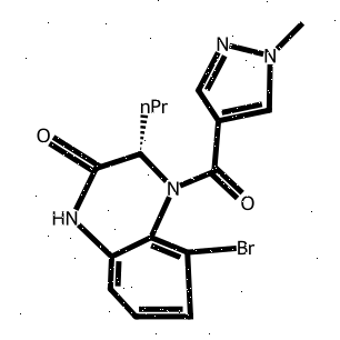 CCC[C@H]1C(=O)Nc2cccc(Br)c2N1C(=O)c1cnn(C)c1